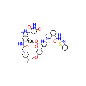 Cc1cc(OCC[C@@H](C)C2CCN(CC(=O)Nc3ccc4c(C5CCC(=O)NC5=O)nn(C)c4c3)CC2)ccc1-c1ccc(N2CCc3cccc(C(=O)Nc4nc5ccccc5s4)c3C2)nc1C(=O)OC(C)(C)C